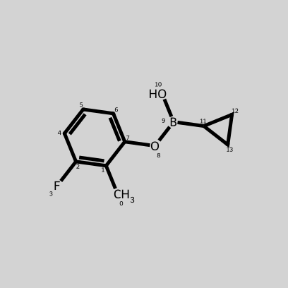 Cc1c(F)cccc1OB(O)C1CC1